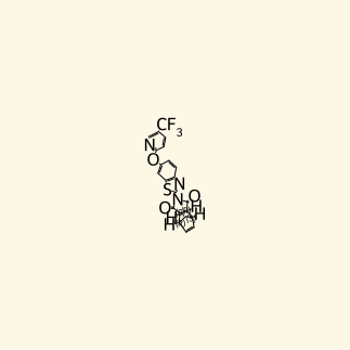 O=C1[C@@H]2[C@H](C(=O)N1c1nc3ccc(Oc4ccc(C(F)(F)F)cn4)cc3s1)[C@@H]1C=C[C@H]2C1